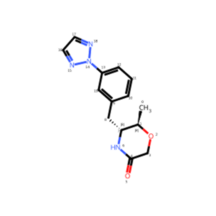 C[C@H]1OCC(=O)N[C@@H]1Cc1cccc(-n2nccn2)c1